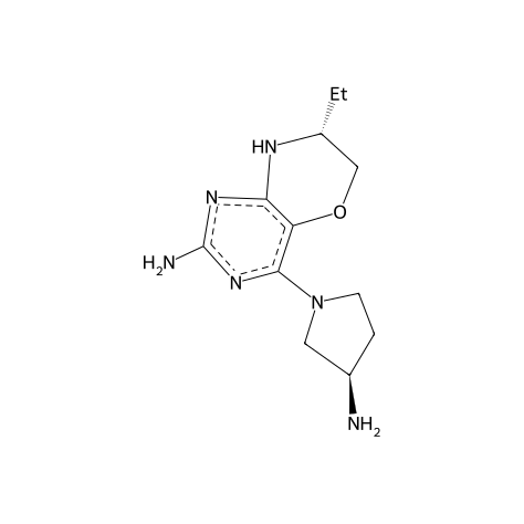 CC[C@@H]1COc2c(nc(N)nc2N2CC[C@@H](N)C2)N1